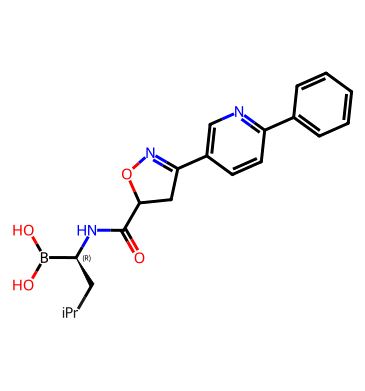 CC(C)C[C@H](NC(=O)C1CC(c2ccc(-c3ccccc3)nc2)=NO1)B(O)O